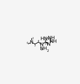 CN(C)CCN(N)C1=NNNN1